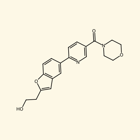 O=C(c1ccc(-c2ccc3oc(CCO)cc3c2)nc1)N1CCOCC1